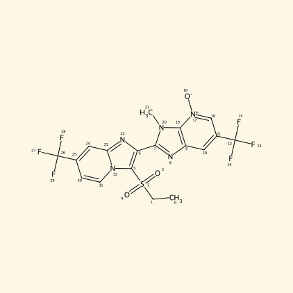 CCS(=O)(=O)c1c(-c2nc3cc(C(F)(F)F)c[n+]([O-])c3n2C)nc2cc(C(F)(F)F)ccn12